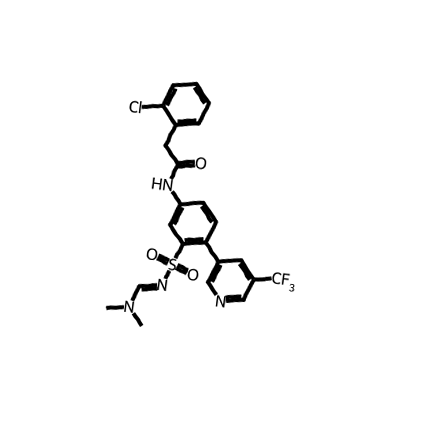 CN(C)C=NS(=O)(=O)c1cc(NC(=O)Cc2ccccc2Cl)ccc1-c1cncc(C(F)(F)F)c1